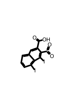 O=C(O)c1cc2cccc(I)c2c(I)c1I(=O)=O